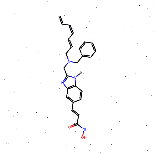 C=C/C=C\C=C\CN(Cc1ccccc1)Cc1nc2cc(/C=C/C(=O)NO)ccc2n1CC